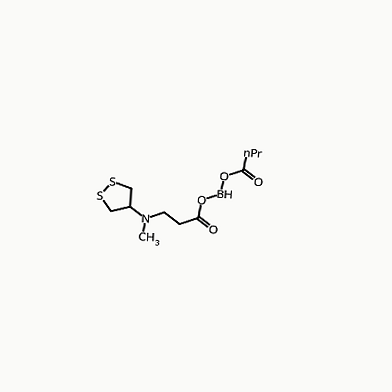 CCCC(=O)OBOC(=O)CCN(C)C1CSSC1